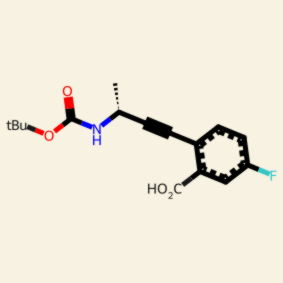 C[C@H](C#Cc1ccc(F)cc1C(=O)O)NC(=O)OC(C)(C)C